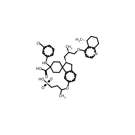 CC(CCS(=O)(=O)O)Oc1ccc2c(c1)C1(CCC(Nc3cccc(Cl)c3)(C(=O)O)CC1)[C@@H](C[C@@H](C)COc1ccnc3c1[C@H](C)CCC3)C2